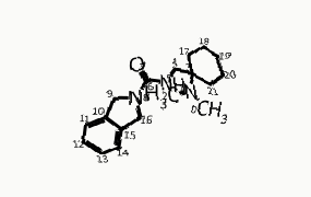 CN(C)C1(CNC(=O)N2Cc3ccccc3C2)CCCCC1